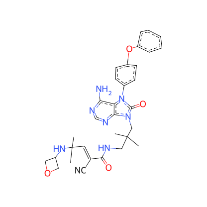 CC(C)(CNC(=O)C(C#N)=CC(C)(C)NC1COC1)Cn1c(=O)n(-c2ccc(Oc3ccccc3)cc2)c2c(N)ncnc21